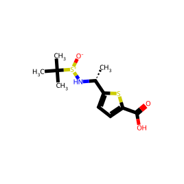 C[C@@H](N[S+]([O-])C(C)(C)C)c1ccc(C(=O)O)s1